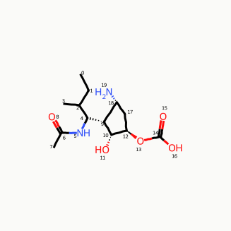 CCC(C)C(NC(C)=O)[C@H]1[C@@H](O)[C@H](OC(=O)O)C[C@H]1N